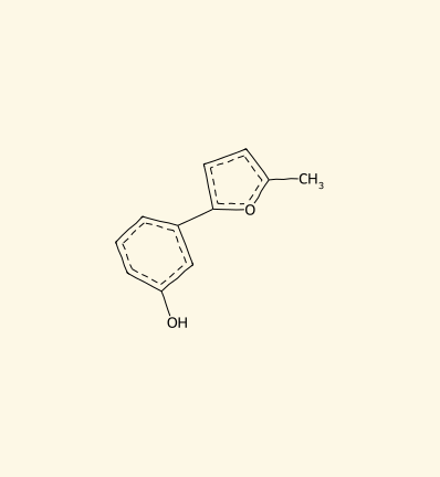 Cc1ccc(-c2cccc(O)c2)o1